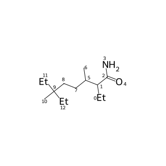 CCC(C(N)=O)C(C)CCC(C)(CC)CC